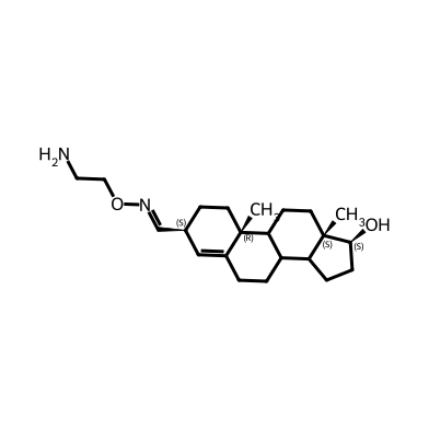 C[C@]12CC[C@H](C=NOCCN)C=C1CCC1C2CC[C@@]2(C)C1CC[C@@H]2O